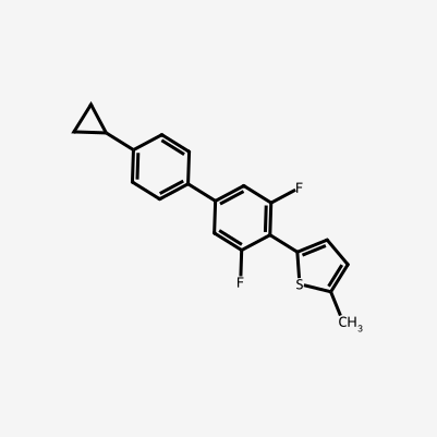 Cc1ccc(-c2c(F)cc(-c3ccc(C4CC4)cc3)cc2F)s1